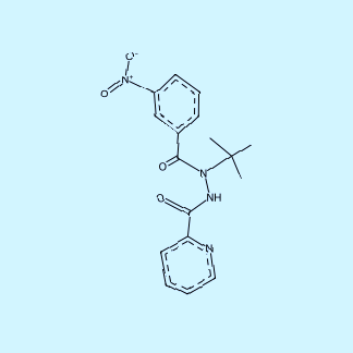 CC(C)(C)N(NC(=O)c1ccccn1)C(=O)c1cccc([N+](=O)[O-])c1